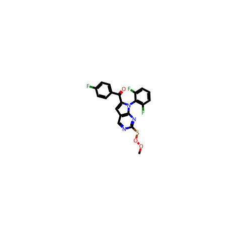 COOSc1ncc2cc(C(=O)c3ccc(F)cc3)n(-c3c(F)cccc3F)c2n1